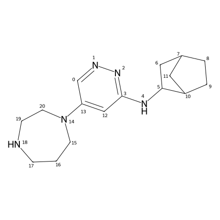 c1nnc(NC2CC3CCC2C3)cc1N1CCCNCC1